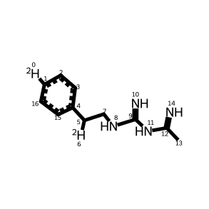 [2H]c1ccc(C([2H])CNC(=N)NC(C)=N)cc1